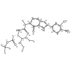 CCOC(OCC)[C@H](CC(=O)OC(C)(C)C)NC(=O)C(C)n1ccc2cc(-c3ccc(N)c(Cl)c3)[nH]c2c1=O